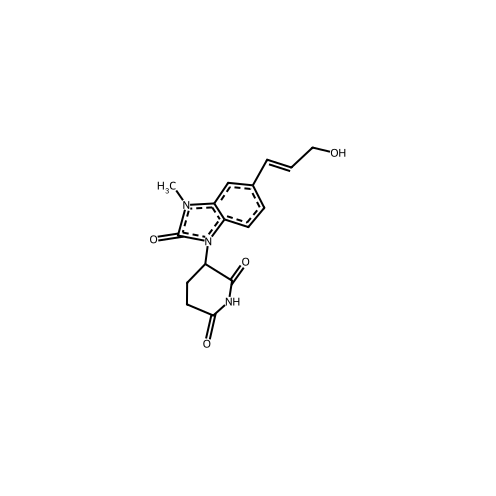 Cn1c(=O)n(C2CCC(=O)NC2=O)c2ccc(/C=C/CO)cc21